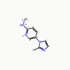 Cc1nccn1-c1ccc(NC(C)C)nc1